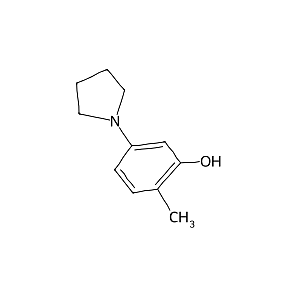 Cc1ccc(N2CCCC2)cc1O